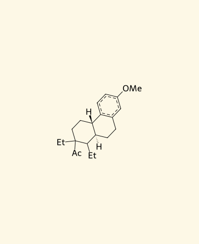 CCC1[C@@H]2CCc3cc(OC)ccc3[C@H]2CCC1(CC)C(C)=O